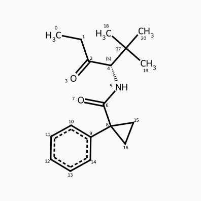 CCC(=O)[C@@H](NC(=O)C1(c2ccccc2)CC1)C(C)(C)C